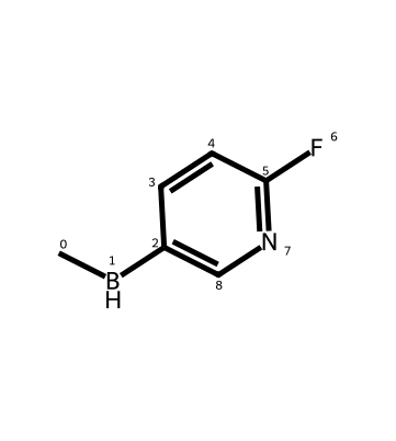 CBc1ccc(F)nc1